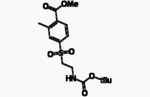 COC(=O)c1ccc(S(=O)(=O)CCNC(=O)OC(C)(C)C)cc1C